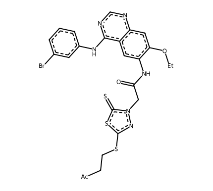 CCOc1cc2ncnc(Nc3cccc(Br)c3)c2cc1NC(=O)Cn1nc(SCCC(C)=O)sc1=S